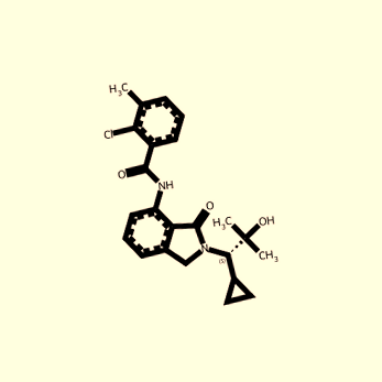 Cc1cccc(C(=O)Nc2cccc3c2C(=O)N([C@@H](C2CC2)C(C)(C)O)C3)c1Cl